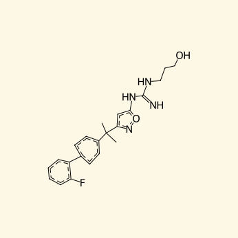 CC(C)(c1ccc(-c2ccccc2F)cc1)c1cc(NC(=N)NCCCO)on1